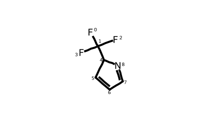 FC(F)(F)C1C=CC=N1